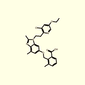 CCOc1cnc(CCn2c(C)nc3c(C)cc(OCc4c(C)cccc4C(=O)O)cc32)c(Cl)c1